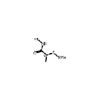 CCNC(=O)[C@H](C)SSC